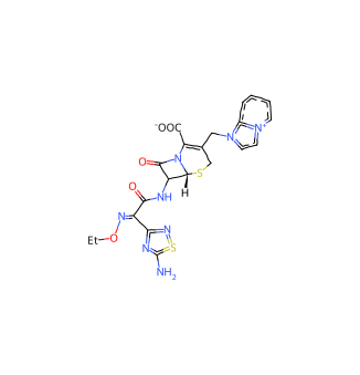 CCO/N=C(/C(=O)NC1C(=O)N2C(C(=O)[O-])=C(Cn3cc[n+]4ccccc34)CS[C@H]12)c1nsc(N)n1